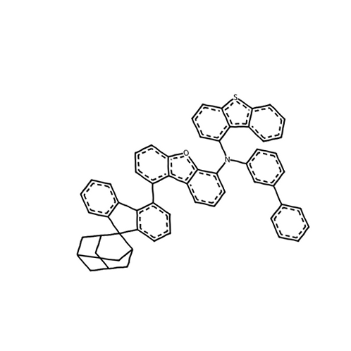 c1ccc(-c2cccc(N(c3cccc4c3oc3cccc(-c5cccc6c5-c5ccccc5C65C6CC7CC(C6)CC5C7)c34)c3cccc4sc5ccccc5c34)c2)cc1